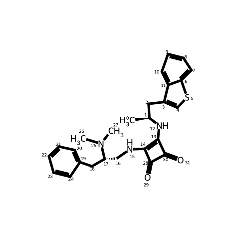 C[C@@H](Cc1csc2ccccc12)Nc1c(NC[C@H](Cc2ccccc2)N(C)C)c(=O)c1=O